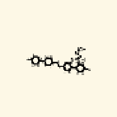 Cc1ccc(-c2ccc(CCc3ccc(-c4ccc(C)cc4SOOO)c(S(=O)(=O)O)c3)cc2)cc1